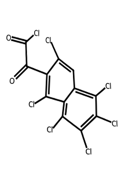 O=C(Cl)C(=O)c1c(Cl)cc2c(Cl)c(Cl)c(Cl)c(Cl)c2c1Cl